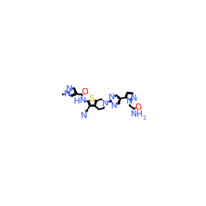 Cn1cc(C(=O)Nc2sc3c(c2C#N)CCN(c2ncc(-c4ccnn4CC(N)=O)cn2)C3)cn1